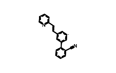 N#Cc1ccccc1-c1c[c]cc(C=Cc2ccccn2)c1